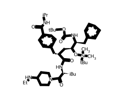 CCNC1CCN(C(=O)[C@@H](NC(=O)[C@H](Cc2ccc(C(=O)NC(C)C)cc2)C[C@H](O[Si](C)(C)C(C)(C)C)[C@H](Cc2ccccc2)NC(=O)OC(C)(C)C)[C@@H](C)CC)CC1